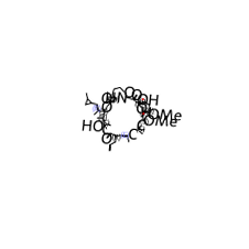 C=CC[C@@H]1/C=C(\C)C[C@H](C)C[C@H](OC)[C@H]2O[C@@](O)(C(=O)C(=O)N3CCCC[C@H]3C(=O)O[C@H](/C(C)=C/C3CC3C)[C@H](C)[C@@H](O)CC1=O)[C@H](C)C[C@@H]2OC